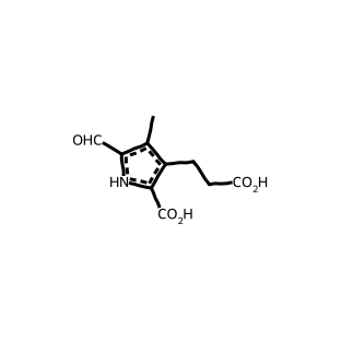 Cc1c(C=O)[nH]c(C(=O)O)c1CCC(=O)O